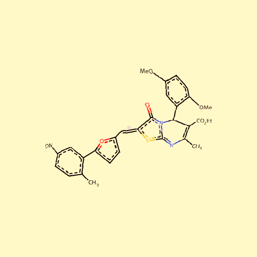 CCOC(=O)C1=C(C)N=c2s/c(=C\c3ccc(-c4cc(N=O)ccc4C)o3)c(=O)n2C1c1cc(OC)ccc1OC